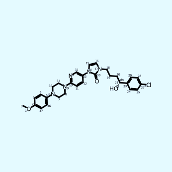 COc1ccc(N2CCN(c3ccc(-n4ccn(CCC[C@@H](O)c5ccc(Cl)cc5)c4=O)cn3)CC2)cc1